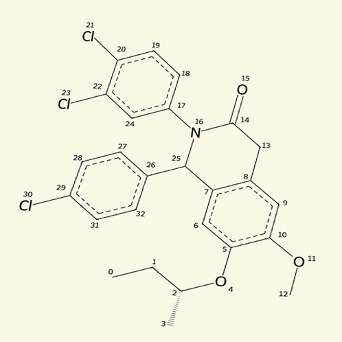 CC[C@@H](C)Oc1cc2c(cc1OC)CC(=O)N(c1ccc(Cl)c(Cl)c1)C2c1ccc(Cl)cc1